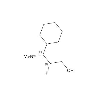 CN[C@H](C1CCCCC1)[C@@H](C)CO